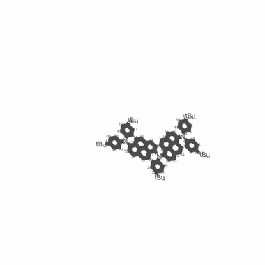 CC(C)(C)c1ccc(N(c2ccc(C(C)(C)C)cc2)c2ccc3ccc4c(N(c5ccc(C(C)(C)C)cc5)c5ccc6ccc7c(N(c8ccc(C(C)(C)C)cc8)c8ccc(C(C)(C)C)cc8)ccc8ccc5c6c87)ccc5ccc2c3c54)cc1